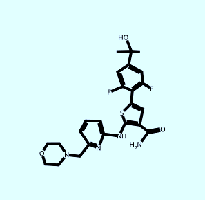 CC(C)(O)c1cc(F)c(-c2cc(C(N)=O)c(Nc3cccc(CN4CCOCC4)n3)s2)c(F)c1